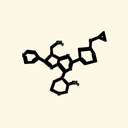 CCn1c(-c2ccncc2)nc2c(N3CCOCC3C)nc(-c3cccc(OC4CC4)c3)nc21